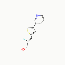 OC/C(F)=C/c1cc(-c2cccnc2)cs1